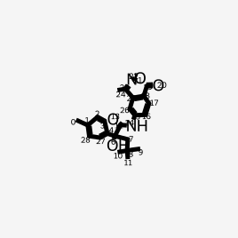 Cc1ccc(C(O)(CC(C)(C)C)C(=O)Nc2ccc3c(=O)onc(C)c3c2)cc1